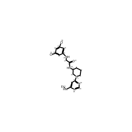 CCNc1cc(N2CCCC(NC(=O)CNc3cc(Cl)cc(Cl)c3)C2)ncn1